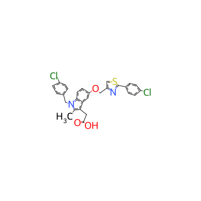 Cc1c(CC(=O)O)c2cc(OCc3csc(-c4ccc(Cl)cc4)n3)ccc2n1Cc1ccc(Cl)cc1